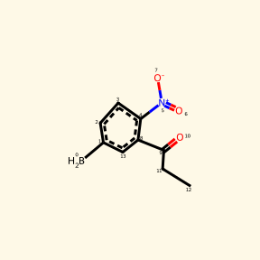 Bc1ccc([N+](=O)[O-])c(C(=O)CC)c1